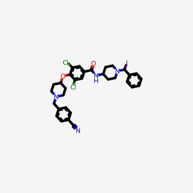 N#Cc1ccc(CN2CCC(Oc3c(Cl)cc(C(=O)NC4CCN(C(I)c5ccccc5)CC4)cc3Cl)CC2)cc1